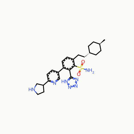 C[C@H]1CC[C@H](CCc2ccc(-c3ccc(C4CCNC4)nc3)c(-c3nnn[nH]3)c2S(N)(=O)=O)CC1